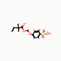 CCC(C)(C)C(=O)OCOc1ccc(S(=O)(=O)O)cc1